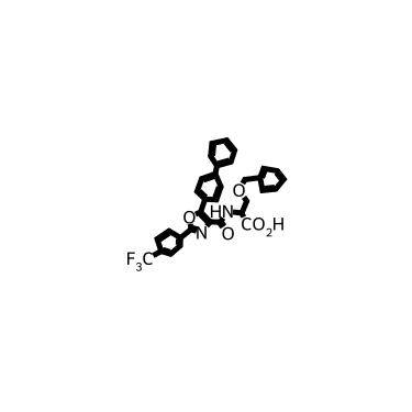 O=C(NC(COCc1ccccc1)C(=O)O)c1nc(-c2ccc(C(F)(F)F)cc2)oc1-c1ccc(-c2ccccc2)cc1